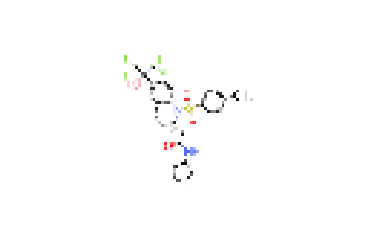 Cc1ccc(S(=O)(=O)N2c3ccc(C(O)(C(F)(F)F)C(F)(F)F)cc3CC[C@H]2CC(=O)NC2CCCC2)cc1